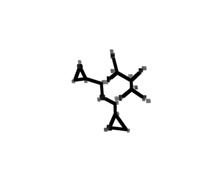 C(OCC1CO1)C1CO1.FC(F)C(F)C(F)F